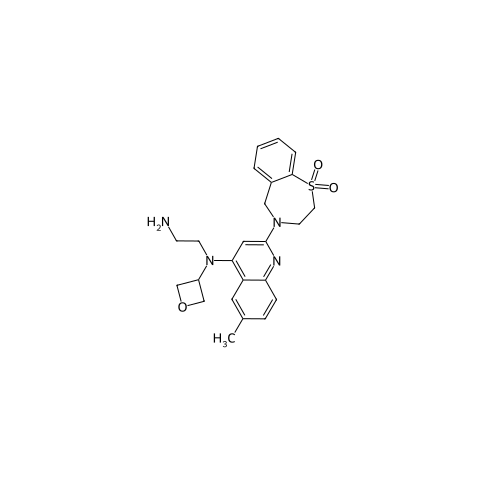 Cc1ccc2nc(N3CCS(=O)(=O)c4ccccc4C3)cc(N(CCN)C3COC3)c2c1